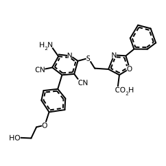 [C-]#[N+]c1c(N)nc(SCc2nc(-c3ccccc3)oc2C(=O)O)c(C#N)c1-c1ccc(OCCO)cc1